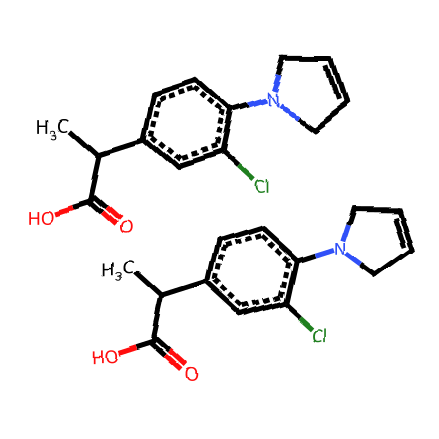 CC(C(=O)O)c1ccc(N2CC=CC2)c(Cl)c1.CC(C(=O)O)c1ccc(N2CC=CC2)c(Cl)c1